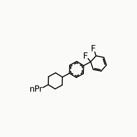 CCCC1CCC(c2ccc(C3(F)C=CC=CC3F)cc2)CC1